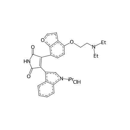 CCN(CC)CCOc1ccc(C2=C(c3cn(C(C)C)c4ccccc34)C(=O)NC2=O)c2occc12.Cl